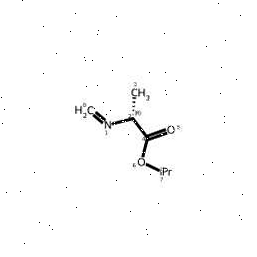 C=N[C@H](C)C(=O)OC(C)C